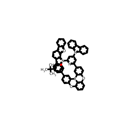 CC(C)(C)c1cccc(-c2ccc3c(c2)B2c4cc(-c5cc(-n6c7ccccc7c7ccccc76)cc(-n6c7ccccc7c7ccc8c9ccccc9oc8c76)n5)ccc4Oc4cccc(c42)O3)c1